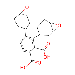 O=C(O)c1ccc(C2CCC3OC3C2)c(C2CCC3OC3C2)c1C(=O)O